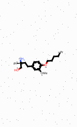 COc1cc(CC[C@@](N)(CO)C(C)C)ccc1OCCCCC(C)C